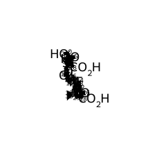 C[C@@H](O)[C@@H]1C(=O)N2C(C(=O)O)=C(COC(=O)N3CCN(c4cc5c(cc4F)c(=O)c(C(=O)O)cn5C4CC4)CC3)S[C@H]12